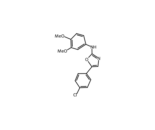 COc1ccc(Nc2ncc(-c3ccc(Cl)cc3)o2)cc1OC